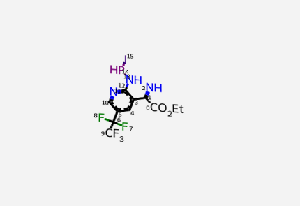 CCOC(=O)C(=N)c1cc(C(F)(F)C(F)(F)F)cnc1NPI